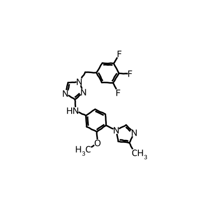 COc1cc(Nc2ncn(Cc3cc(F)c(F)c(F)c3)n2)ccc1-n1cnc(C)c1